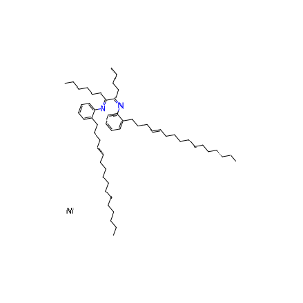 CCCCCCCCCCCC=CCCCc1ccccc1N=C(CCCC)C(CCCCCC)=Nc1ccccc1CCCC=CCCCCCCCCCCC.[Ni]